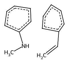 C=Cc1ccccc1.CNc1ccccc1